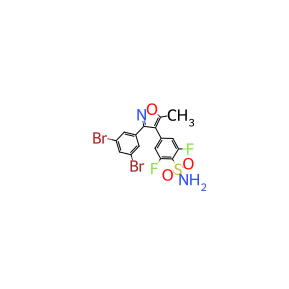 Cc1onc(-c2cc(Br)cc(Br)c2)c1-c1cc(F)c(S(N)(=O)=O)c(F)c1